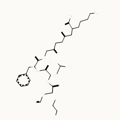 CCCC[C@H](NC=O)C(=O)N[C@@H](CC(C)C)C(=O)N[C@@H](Cc1ccccc1)C(=O)OCC(=O)CCC(=O)CC(CCCCN)C(N)=O